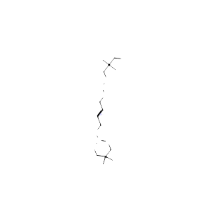 CC(C)(CO)COPSC/C=C/CSP1OCC(C)(C)CO1